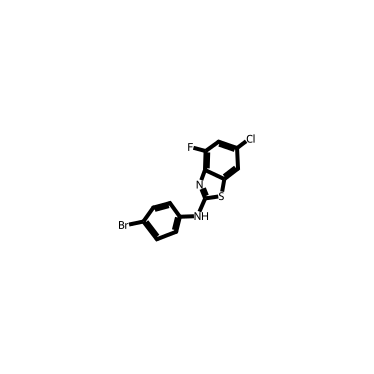 Fc1cc(Cl)cc2sc(Nc3ccc(Br)cc3)nc12